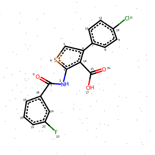 O=C(Nc1scc(-c2ccc(Cl)cc2)c1C(=O)O)c1cccc(F)c1